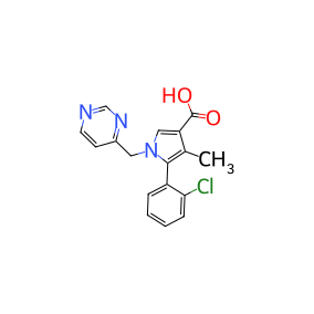 Cc1c(C(=O)O)cn(Cc2ccncn2)c1-c1ccccc1Cl